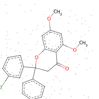 COc1cc(OC)c2c(c1)OC(c1ccccc1)(c1cccc(Cl)c1)CC2=O